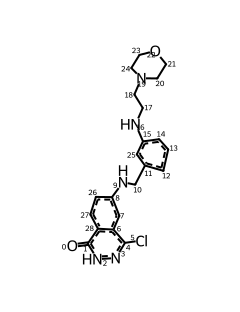 O=c1[nH]nc(Cl)c2cc(NCc3cccc(NCCN4CCOCC4)c3)ccc12